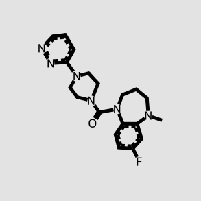 CN1CCCN(C(=O)N2CCN(c3cccnn3)CC2)c2ccc(F)cc21